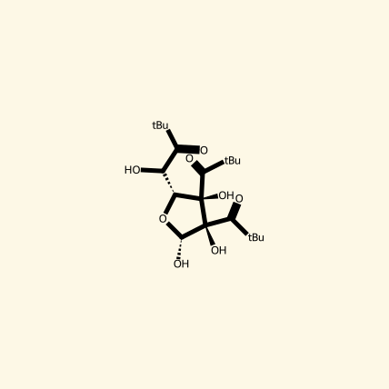 CC(C)(C)C(=O)C(O)[C@H]1O[C@@H](O)[C@@](O)(C(=O)C(C)(C)C)[C@@]1(O)C(=O)C(C)(C)C